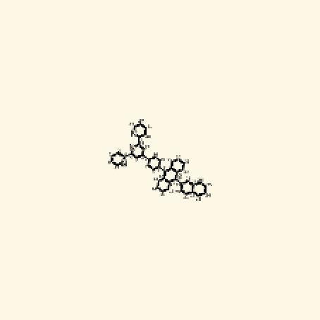 c1ccc(-c2cc(-c3ccc(-c4c5ccccc5c(-c5ccc6ccccc6c5)c5ccccc45)cc3)cc(-c3ccccn3)n2)nc1